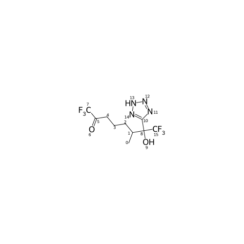 CC(CCCC(=O)C(F)(F)F)C(O)(c1nn[nH]n1)C(F)(F)F